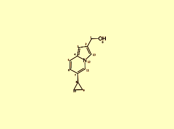 OCc1cc2ccc(C3CC3)cn2c1